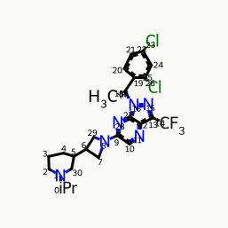 CC(C)N1CCCC(C2CN(c3cnc4c(C(F)(F)F)nn([C@H](C)c5ccc(Cl)cc5Cl)c4n3)C2)C1